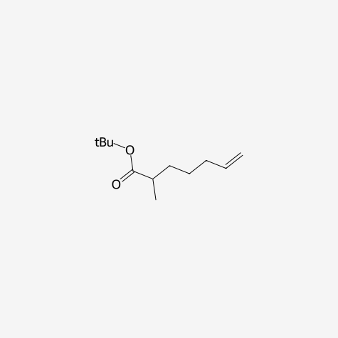 C=CCCCC(C)C(=O)OC(C)(C)C